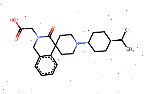 CC(C)[C@H]1CC[C@@H](N2CCC3(CC2)C(=O)N(CC(=O)O)Cc2ccccc23)CC1